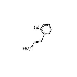 O=C(O)/C=C/c1ccccc1.[Gd]